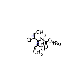 C=C/C(Cl)=C(NC(=O)OC(C)(C)C)\C(Cl)=C/C